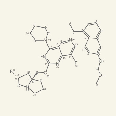 CCc1cccc2cc(OCOC)cc(-c3ncc4c(N5CCCCC5)nc(OC[C@@]56CCCN5C[C@H](F)C6)nc4c3F)c12